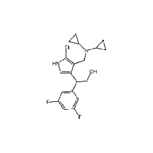 CCc1[nH]cc(C(CO)c2cc(F)cc(F)c2)c1CN(C1CC1)C1CC1